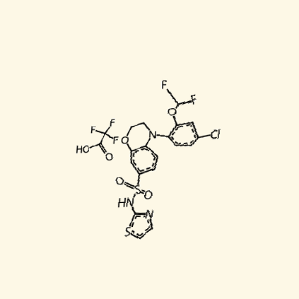 O=C(O)C(F)(F)F.O=S(=O)(Nc1nccs1)c1ccc2c(c1)OCCN2c1ccc(Cl)cc1OC(F)F